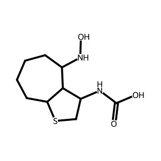 O=C(O)NC1CSC2CCCCC(NO)C12